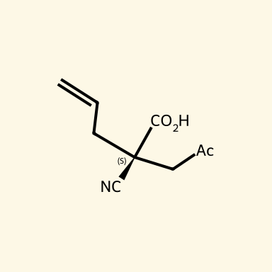 C=CC[C@@](C#N)(CC(C)=O)C(=O)O